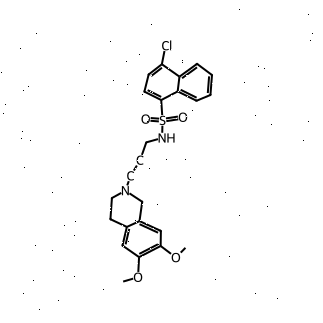 COc1cc2c(cc1OC)CN(CCCNS(=O)(=O)c1ccc(Cl)c3ccccc13)CC2